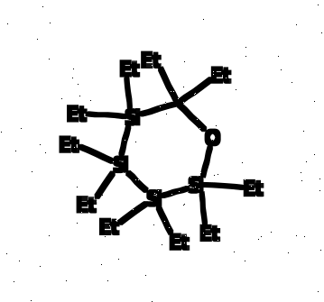 CCC1(CC)O[Si](CC)(CC)[Si](CC)(CC)[Si](CC)(CC)[Si]1(CC)CC